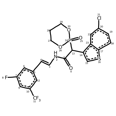 O=C(NC=Cc1cc(F)cc(C(F)(F)F)c1)C(c1csc2ccc(Cl)cc12)P1(=O)OCCCO1